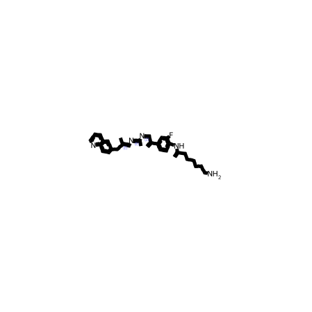 C=C(CCCCCCN)Nc1ccc(C(=C)\C=N/C(C)=N/C=C(\C)Cc2ccc3ncccc3c2)cc1F